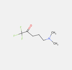 CN(C)CCCC(=O)C(F)(F)F